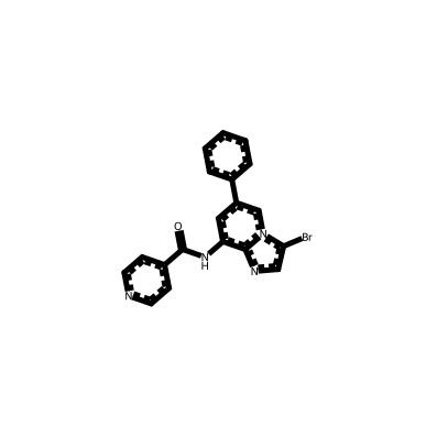 O=C(Nc1cc(-c2ccccc2)cn2c(Br)cnc12)c1ccncc1